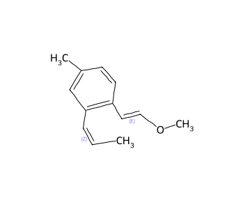 C/C=C\c1cc(C)ccc1/C=C/OC